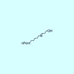 CCCCCCCCCCN=CCCO